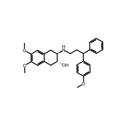 COc1ccc(C(CCN[C@@H]2Cc3cc(OC)c(OC)cc3C[C@H]2O)c2ccccc2)cc1